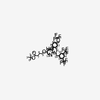 CC(C)(C)OC(=O)CCCOc1cnc(N(Cc2cc(C(F)(F)F)cc(C(F)(F)F)c2)Cc2cc(OC(F)(F)F)ccc2O)nc1